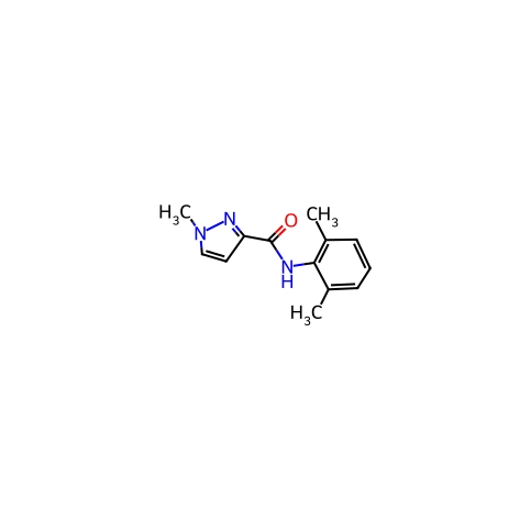 Cc1cccc(C)c1NC(=O)c1ccn(C)n1